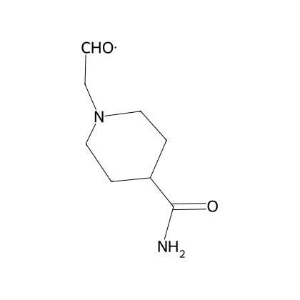 NC(=O)C1CCN(C[C]=O)CC1